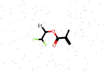 C=C(C)C(=O)OC(CC)C(F)F